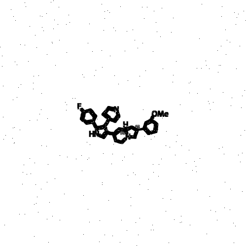 COc1cccc([C@@H]2C[C@H]3C=C(c4c[nH]c(-c5ccc(F)cc5)c4-c4ccncc4)CCN3C2)c1